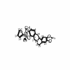 COc1ccc2c(c1OS(=O)(=O)c1cccs1)CN1CCc3cc4c(cc3C1C2)OCO4